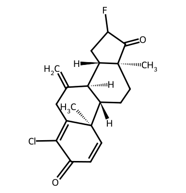 C=C1CC2=C(Cl)C(=O)C=C[C@]2(C)[C@H]2CC[C@]3(C)C(=O)C(F)C[C@H]3[C@H]12